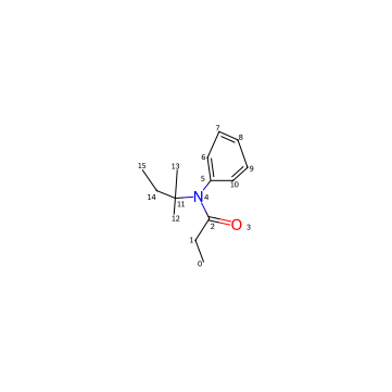 CCC(=O)N(c1ccccc1)C(C)(C)CC